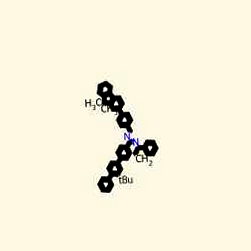 C=C/C(=N\C(=N/Cc1ccc(-c2ccc3c(c2)C(C)(C)C2=C3CCC=C2)cc1)c1ccc(-c2ccc(-c3ccccc3)c(C(C)(C)C)c2)cc1)c1ccccc1